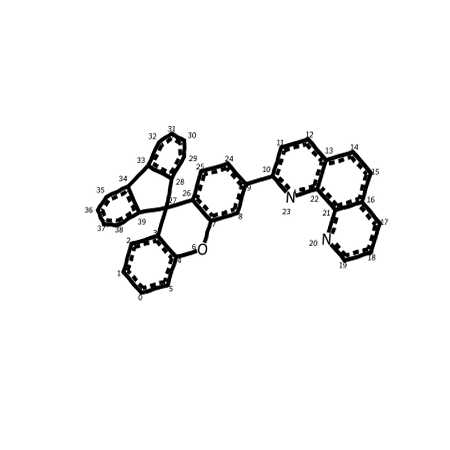 c1ccc2c(c1)Oc1cc(-c3ccc4ccc5cccnc5c4n3)ccc1C21c2ccccc2-c2ccccc21